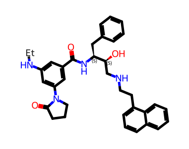 CCNc1cc(C(=O)N[C@@H](Cc2ccccc2)[C@@H](O)CNCCc2cccc3ccccc23)cc(N2CCCC2=O)c1